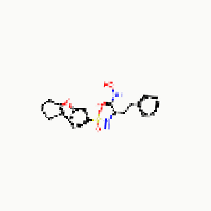 O=C(NO)C(CCc1ccccc1)NS(=O)(=O)c1ccc2c3c(oc2c1)CCCC3